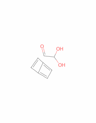 O=CC(O)O.c1cc2ccc1-2